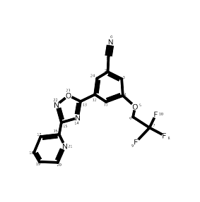 N#Cc1cc(OCC(F)(F)F)cc(-c2nc(-c3ccccn3)no2)c1